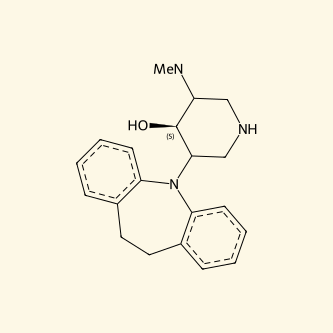 CNC1CNCC(N2c3ccccc3CCc3ccccc32)[C@H]1O